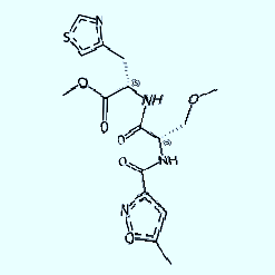 COC[C@H](NC(=O)c1cc(C)on1)C(=O)N[C@@H](Cc1cscn1)C(=O)OC